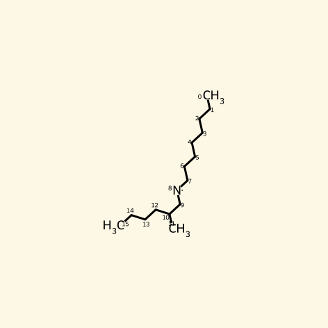 CCCCCCCC[N]CC(C)CCCC